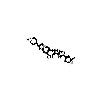 COc1cc2nc(C3CCNCC3)cn2cc1NC(=O)c1coc(-c2ccnc(C)c2)n1